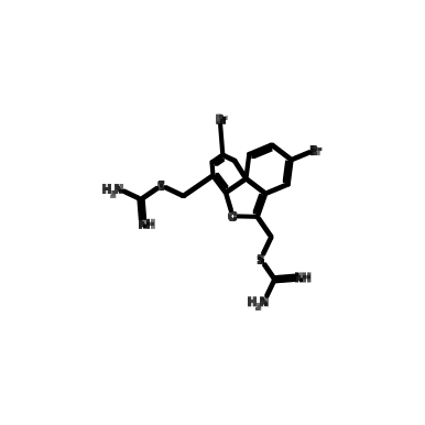 N=C(N)SCC1=C2OC(CSC(=N)N)=C3C=C(Br)C=CC32CC(Br)=C1